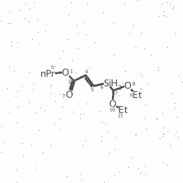 CCCOC(=O)C=C[SiH2]C(OCC)OCC